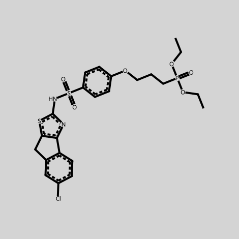 CCOP(=O)(CCCOc1ccc(S(=O)(=O)Nc2nc3c(s2)Cc2cc(Cl)ccc2-3)cc1)OCC